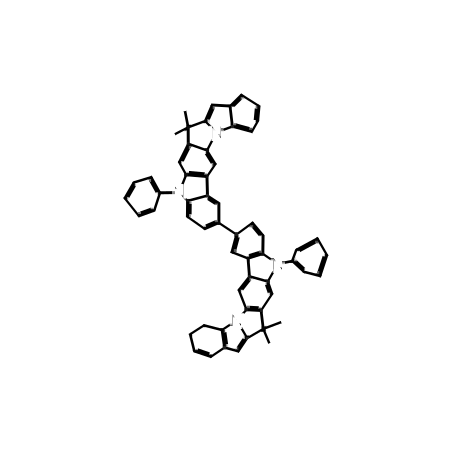 CC1(C)c2cc3c(cc2-n2c1cc1c2CCC=C1)c1cc(-c2ccc4c(c2)c2cc5c(cc2n4-c2ccccc2)C(C)(C)c2cc4ccccc4n2-5)ccc1n3-c1ccccc1